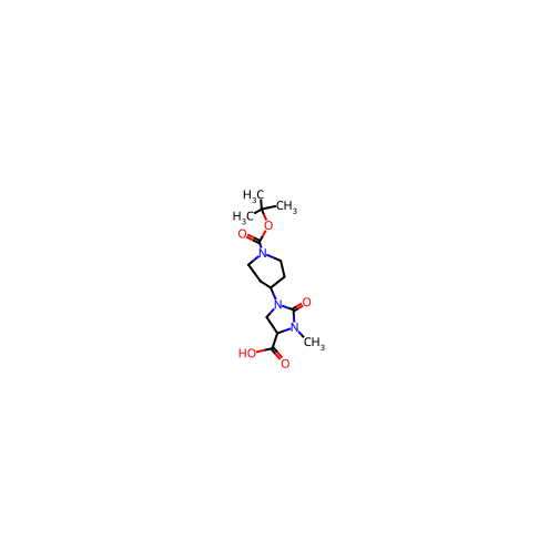 CN1C(=O)N(C2CCN(C(=O)OC(C)(C)C)CC2)CC1C(=O)O